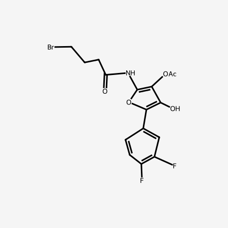 CC(=O)Oc1c(NC(=O)CCCBr)oc(-c2ccc(F)c(F)c2)c1O